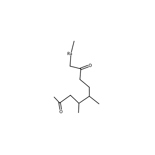 [CH3][Ra][CH2]C(=O)CCC(C)C(C)CC(C)=O